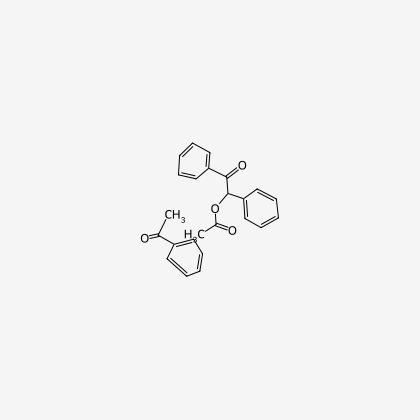 CC(=O)OC(C(=O)c1ccccc1)c1ccccc1.CC(=O)c1ccccc1